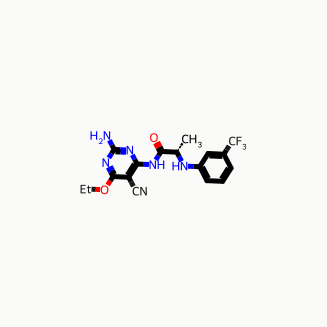 CCOc1nc(N)nc(NC(=O)[C@H](C)Nc2cccc(C(F)(F)F)c2)c1C#N